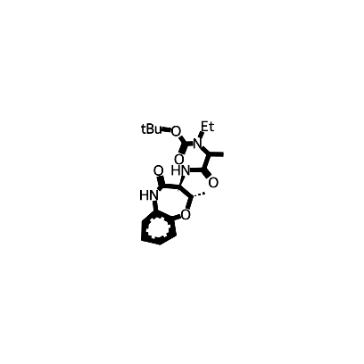 CCN(C(=O)OC(C)(C)C)C(C)C(=O)N[C@@H]1C(=O)Nc2ccccc2O[C@H]1C